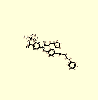 CC1(C)OC(=O)c2ccc(N(Cc3ccc(C#CCCCc4ccccc4)cc3)C(=O)CCC3CCCC3)cc2O1